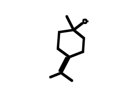 CC(C)=C1CCC(C)([O])CC1